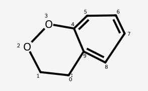 [C]1COOc2ccccc21